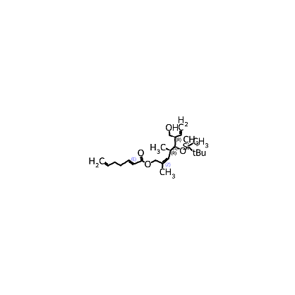 C=CCC/C=C/C(=O)OC/C(C)=C\[C@@H](C)[C@H](O[Si](C)(C)C(C)(C)C)[C@H](C=C)CO